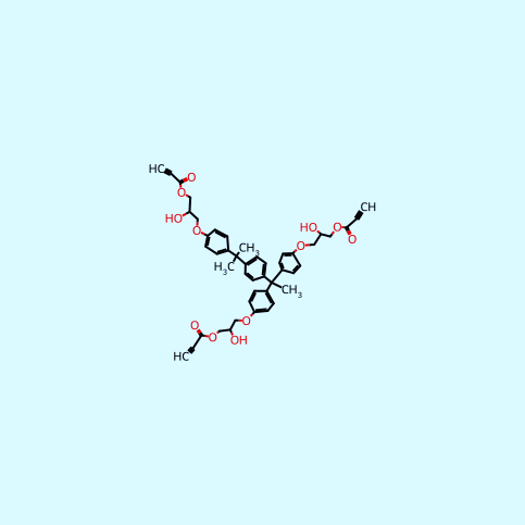 C#CC(=O)OCC(O)COc1ccc(C(C)(C)c2ccc(C(C)(c3ccc(OCC(O)COC(=O)C#C)cc3)c3ccc(OCC(O)COC(=O)C#C)cc3)cc2)cc1